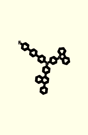 Fc1ccc(-c2ccc(-c3ccc(N(c4ccc(-c5ccc(-c6ccccc6)c6ccccc56)cc4)c4ccc(-n5c6ccccc6c6ccccc65)cc4)cc3)cc2)cc1